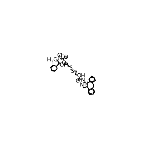 C[C@@H]([C@@H](O)C1C=CC=CC1)N(C)C(=O)OCCSSCCOC(=O)NC1=NCC2c3ccccc3Cc3ccccc3N12